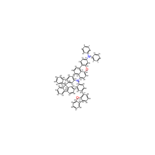 c1ccc(N(c2ccccc2)c2ccc3c(c2)Oc2ccc(N(c4ccc(-c5cccc6c5oc5ccccc56)cc4)c4ccc5c(c4)C(c4ccccc4)(c4ccccc4)c4ccccc4-5)c4cccc-3c24)cc1